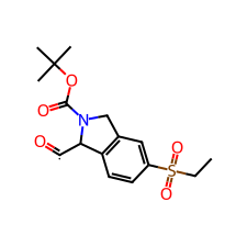 CCS(=O)(=O)c1ccc2c(c1)CN(C(=O)OC(C)(C)C)C2[C]=O